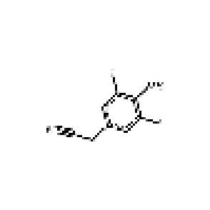 C#CCc1cc(F)c([CH2])c(F)c1